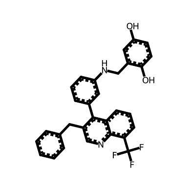 Oc1ccc(O)c(CNc2cccc(-c3c(Cc4ccccc4)cnc4c(C(F)(F)F)cccc34)c2)c1